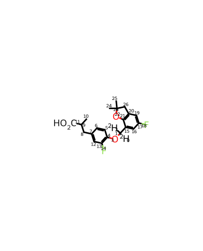 [2H]C([2H])(Oc1ccc(CC(C)C(=O)O)cc1F)c1cc(F)cc2c1OC(C)(C)C2